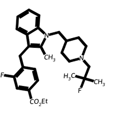 CCOC(=O)c1ccc(Cc2c(C)n(CC3CCN(CC(C)(C)F)CC3)c3ccccc23)c(F)c1